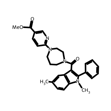 COC(=O)c1ccc(N2CCCN(C(=O)c3c(-c4ccccc4)n(C)c4ccc(C)cc34)CC2)nc1